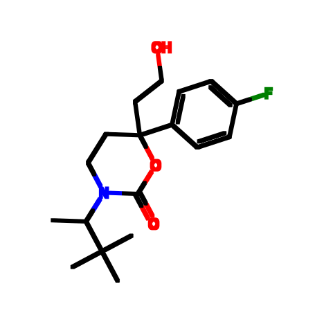 CC(N1CCC(CCO)(c2ccc(F)cc2)OC1=O)C(C)(C)C